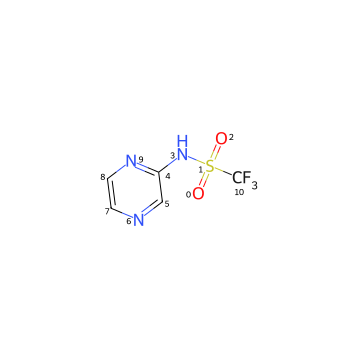 O=S(=O)(Nc1cnccn1)C(F)(F)F